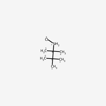 CC(C)(C)C(C)(C)[SiH2]Cl